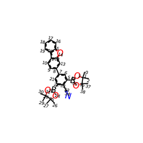 CC1(C)OB(c2cc(-c3ccc4c(c3)oc3ccccc34)cc(B3OC(C)(C)C(C)(C)O3)c2C#N)OC1(C)C